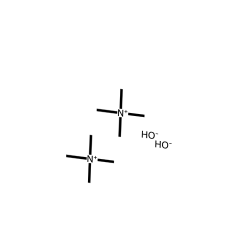 C[N+](C)(C)C.C[N+](C)(C)C.[OH-].[OH-]